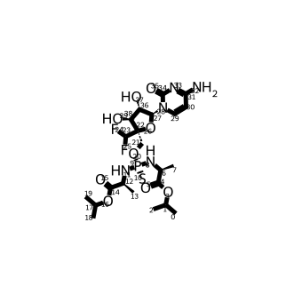 CC(C)OC(=O)[C@H](C)NP(=S)(N[C@@H](C)C(=O)OC(C)C)OC[C@@]1(C(F)F)O[C@@H](n2ccc(N)nc2=O)[C@@H](O)[C@@H]1O